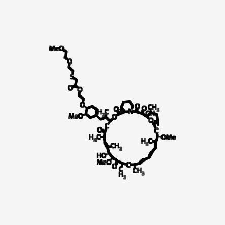 COCCOCCSCC(=O)OCCO[C@@H]1CC[C@@H](C[C@@H](C)[C@@H]2CC(=O)[C@H](C)/C=C(\C)[C@@H](O)[C@@H](OC)C(=O)[C@H](C)C[C@H](C)/C=C/C=C/C=C(\C)[C@@H](OC)C[C@@H]3CC[C@@H](C)[C@@](O)(O3)C(=O)C(=O)N3CCCC[C@H]3C(=O)O2)C[C@H]1OC